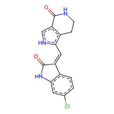 O=C1Nc2cc(Cl)ccc2/C1=C/c1[nH]cc2c1CCNC2=O